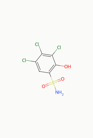 NS(=O)(=O)c1cc(Cl)c(Cl)c(Cl)c1O